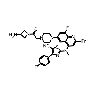 CC(C)c1cc(N(C)c2nc(-c3ccc(F)cc3)c(C#N)s2)c2cc(N3CCN(CC(=O)N4CC(N)C4)CC3)cc(F)c2n1